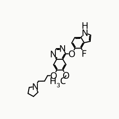 COc1cc2c(Oc3ccc4[nH]ccc4c3F)ncnc2cc1OCCCN1CCCC1